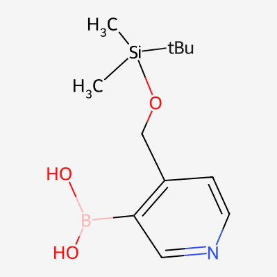 CC(C)(C)[Si](C)(C)OCc1ccncc1B(O)O